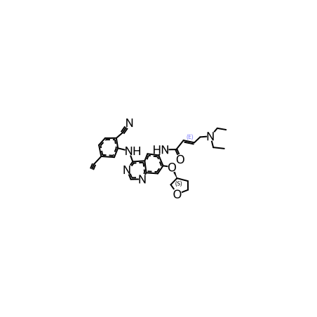 C#Cc1ccc(C#N)c(Nc2ncnc3cc(O[C@H]4CCOC4)c(NC(=O)/C=C/CN(CC)CC)cc23)c1